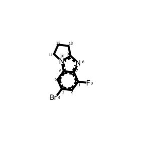 Fc1cc(Br)cc2c1nc1n2CCC1